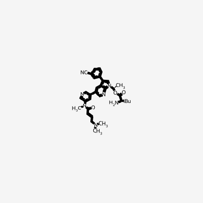 CCC(C)C(N)C(=O)O[C@@H](C)n1cc(-c2cccc(C#N)c2)c2cc(-c3cncc(N(C)C(=O)/C=C/CN(C)C)c3)cnc21